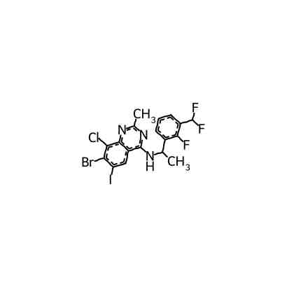 Cc1nc(NC(C)c2cccc(C(F)F)c2F)c2cc(I)c(Br)c(Cl)c2n1